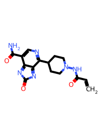 C=CC(=O)NN1CCC(c2ncc(C(N)=O)c3c2=NC(=O)N=3)CC1